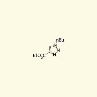 CCCCn1cc(C(=O)OCC)nn1